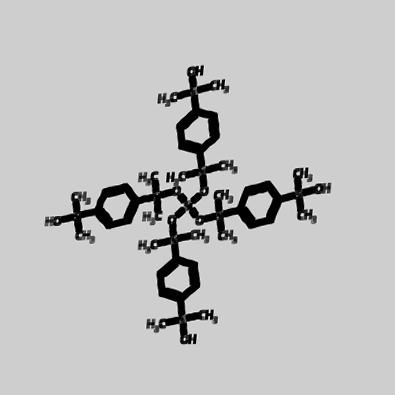 C[Si](C)(O)c1ccc([Si](C)(C)O[Si](O[Si](C)(C)c2ccc([Si](C)(C)O)cc2)(O[Si](C)(C)c2ccc([Si](C)(C)O)cc2)O[Si](C)(C)c2ccc([Si](C)(C)O)cc2)cc1